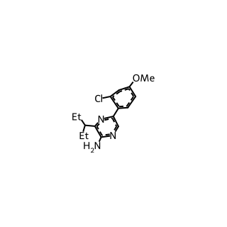 CCC(CC)c1nc(-c2ccc(OC)cc2Cl)cnc1N